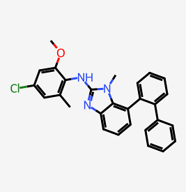 COc1cc(Cl)cc(C)c1Nc1nc2cccc(-c3ccccc3-c3ccccc3)c2n1C